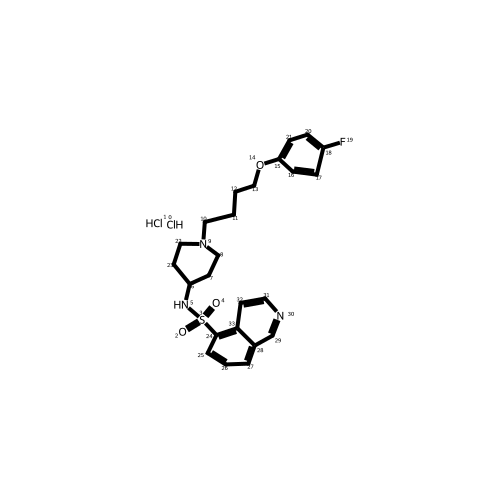 Cl.Cl.O=S(=O)(NC1CCN(CCCCOc2ccc(F)cc2)CC1)c1cccc2cnccc12